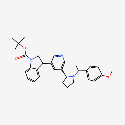 COc1ccc(C(C)N2CCC[C@H]2c2cncc(C3CN(C(=O)OC(C)(C)C)c4ccccc43)c2)cc1